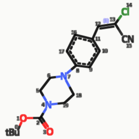 CC(C)(C)OC(=O)N1CCN(c2ccc(/C=C(/Cl)C#N)cc2)CC1